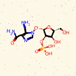 NC(=O)c1ncn(O[C@@H]2O[C@H](CO)[C@@H](O)[C@H]2OP(=O)(O)O)c1N